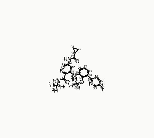 [2H]C([2H])([2H])NC(=O)c1nnc(NC(=O)C2CC2)cc1Nc1cccc(-c2ncc(F)cn2)c1OC([2H])([2H])[2H]